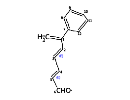 C=C(/C=C/C=C/[C]=O)c1ccccc1